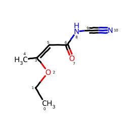 CCO/C(C)=C\C(=O)NC#N